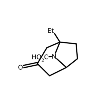 CCC12CCC(CC(=O)C1)N2C(=O)O